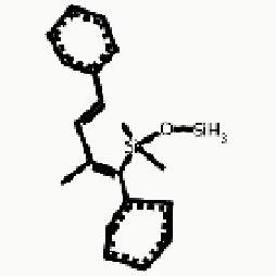 CC(C=Cc1ccccc1)=C(c1ccccc1)[Si](C)(C)O[SiH3]